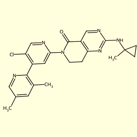 Cc1cnc(-c2cc(N3CCc4nc(NC5(C)CC5)ncc4C3=O)ncc2Cl)c(C)c1